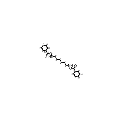 O=C(ONCCCCCCNOC(=O)c1ccccc1)c1ccccc1